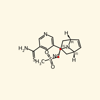 CS(=O)(=O)CCN1[C@@H]2C=C[C@H]1C[C@](C#N)(c1cncc(C(N)=S)c1)C2